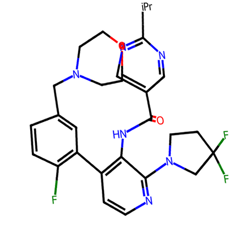 CC(C)c1ncc(C(=O)Nc2c(-c3cc(CN4CCOCC4)ccc3F)ccnc2N2CCC(F)(F)C2)cn1